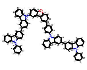 c1ccc(-n2c3ccccc3c3cc(-c4ccc5c(c4)c4ccccc4n5-c4ccc(-c5ccc6oc7ccc(-n8c9ccccc9c9cc(-c%10ccc%11c(c%10)c%10ccccc%10n%11-c%10ccccc%10)ccc98)cc7c6c5)cc4)ccc32)cc1